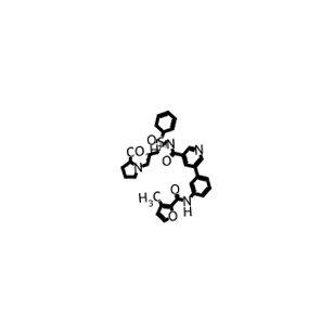 Cc1ccoc1C(=O)Nc1cccc(-c2cncc(C(=O)N=[S@](=O)(CCCN3CCCC3C(=O)O)C3C=CC=CC3)c2)c1